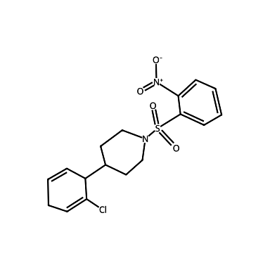 O=[N+]([O-])c1ccccc1S(=O)(=O)N1CCC(C2C=CCC=C2Cl)CC1